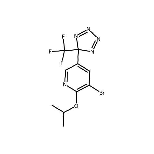 CC(C)Oc1ncc(C2(C(F)(F)F)N=NN=N2)cc1Br